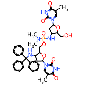 Cc1cn(C2CC(NC(c3ccccc3)(c3ccccc3)c3ccccc3)C(COP(=O)(NC3CC(n4cc(C)c(=O)[nH]c4=O)OC3CO)N(C)C)O2)c(=O)[nH]c1=O